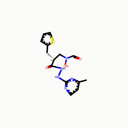 Cc1ccnc(NNC(=O)[C@H](Cc2cccs2)CN(O)C=O)n1